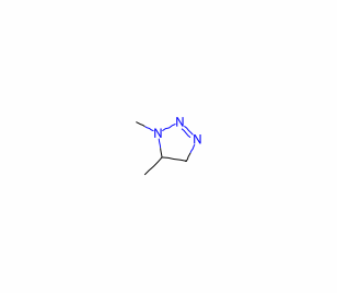 CC1CN=NN1C